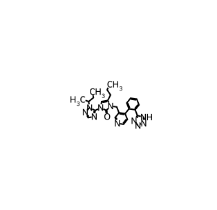 CCCc1cn(-c2ncnn2C(C)CC)c(=O)n1Cc1cnccc1-c1ccccc1-c1nnn[nH]1